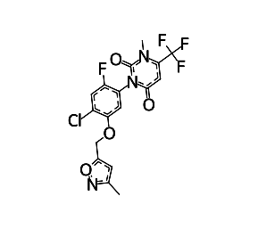 Cc1cc(COc2cc(-n3c(=O)cc(C(F)(F)F)n(C)c3=O)c(F)cc2Cl)on1